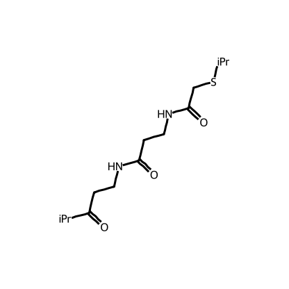 CC(C)SCC(=O)NCCC(=O)NCCC(=O)C(C)C